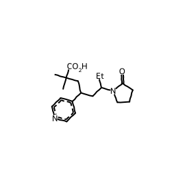 CCC(CC(CC(C)(C)C(=O)O)c1ccncc1)N1CCCC1=O